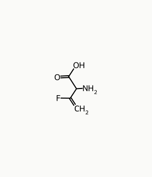 C=C(F)C(N)C(=O)O